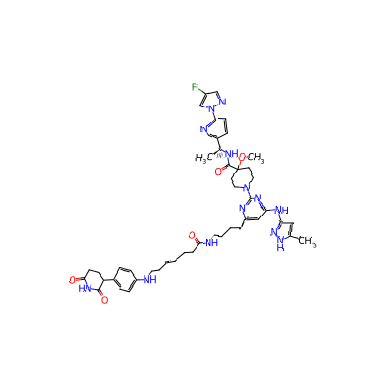 COC1(C(=O)N[C@@H](C)c2ccc(-n3cc(F)cn3)nc2)CCN(c2nc(CCCCNC(=O)CCCCCCNc3ccc(C4CCC(=O)NC4=O)cc3)cc(Nc3cc(C)[nH]n3)n2)CC1